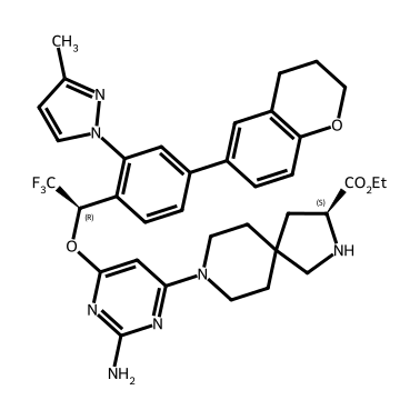 CCOC(=O)[C@@H]1CC2(CCN(c3cc(O[C@H](c4ccc(-c5ccc6c(c5)CCCO6)cc4-n4ccc(C)n4)C(F)(F)F)nc(N)n3)CC2)CN1